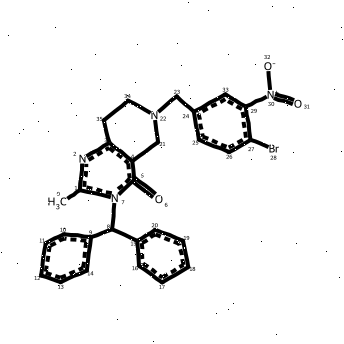 Cc1nc2c(c(=O)n1C(c1ccccc1)c1ccccc1)CN(Cc1ccc(Br)c([N+](=O)[O-])c1)CC2